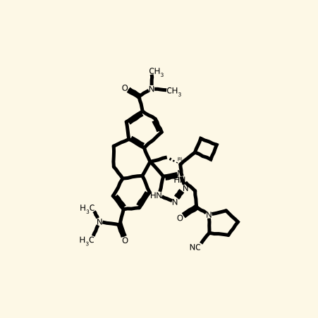 CN(C)C(=O)C1=CC2CCc3cc(C(=O)N(C)C)ccc3C(C[C@@H](NCC(=O)N3CCCC3C#N)C3CCC3)(c3nnn[nH]3)C2C=C1